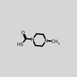 CN1CCN(C(=O)S)CC1